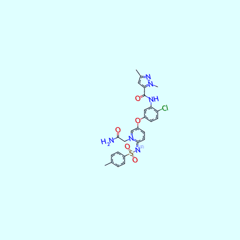 Cc1ccc(S(=O)(=O)/N=c2/ccc(Oc3ccc(Cl)c(NC(=O)c4cc(C)nn4C)c3)cn2CC(N)=O)cc1